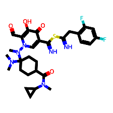 CN(C(=O)C1CCC(N(C)C)(N(C)n2cc(C(=N)SC(=N)Cc3ccc(F)cc3F)c(=O)c(O)c2C=O)CC1)C1CC1